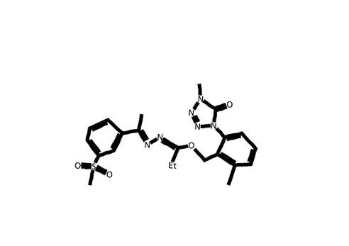 CC/C(=N\N=C(/C)c1cccc(S(C)(=O)=O)c1)OCc1c(C)cccc1-n1nnn(C)c1=O